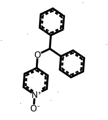 [O-][n+]1ccc(OC(c2ccccc2)c2ccccc2)cc1